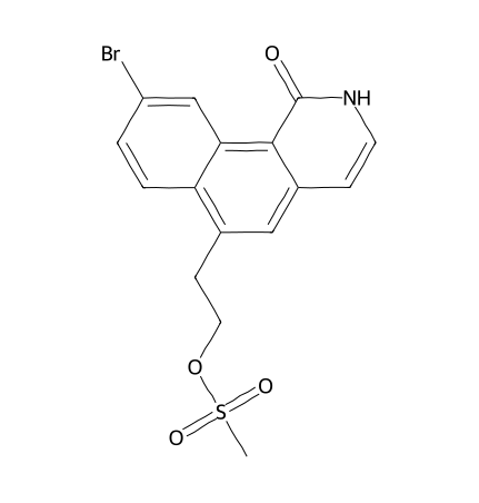 CS(=O)(=O)OCCc1cc2cc[nH]c(=O)c2c2cc(Br)ccc12